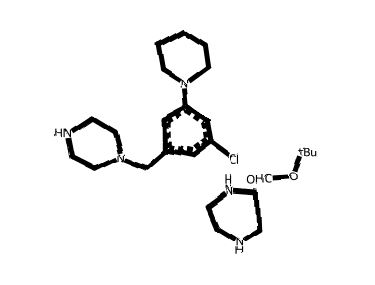 C1CNCCN1.CC(C)(C)OC=O.Clc1cc(CN2CCNCC2)cc(N2CCCCC2)c1